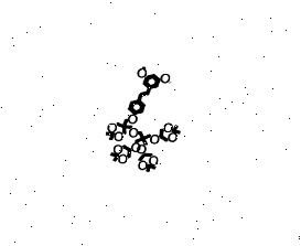 COc1cc(/C=C/c2ccc(OCC3(COCC(COC4COC(C)(C)OC4)(COC4COC(C)(C)OC4)COC4COC(C)(C)OC4)COC(C)(C)OC3)cc2)cc(OC)c1